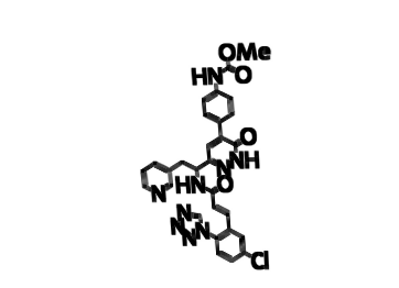 COC(=O)Nc1ccc(-c2cc(C(Cc3cccnc3)NC(=O)C=Cc3cc(Cl)ccc3-n3cnnn3)n[nH]c2=O)cc1